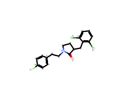 O=C1C(Cc2c(Cl)cccc2Cl)CCN1CCc1ccc(F)cc1